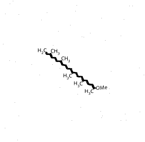 C=C/C(C)=C/C=C/C(C)=C/C=C/C=C(C)/C=C/C=C(C)/C=C/C=C(\C)OC